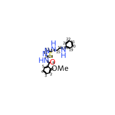 COc1ccccc1C(=O)Nc1nnc(NCCNc2ccccc2)s1